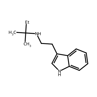 CCC(C)(C)NCCc1c[nH]c2ccccc12